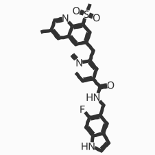 C=N/C(=C\C(=C/C)C(=O)NCc1cc2cc[nH]c2cc1F)Cc1cc(S(C)(=O)=O)c2ncc(C)cc2c1